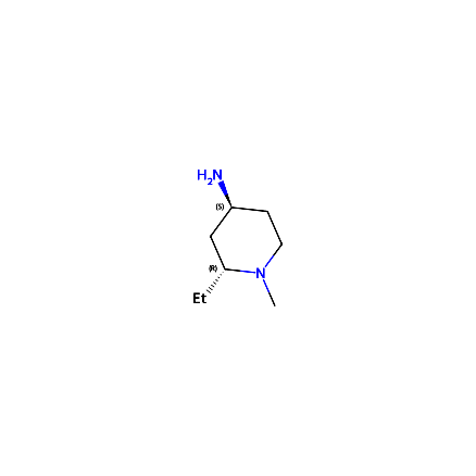 CC[C@@H]1C[C@@H](N)CCN1C